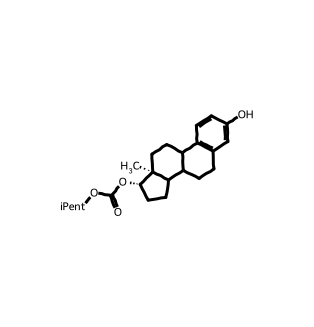 CCCC(C)OC(=O)O[C@H]1CCC2C3CCc4cc(O)ccc4C3CC[C@@]21C